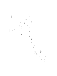 CCO[Si](OCC)(OCC)c1cc(C)ccc1SSSSSSSc1nc2ccccc2s1